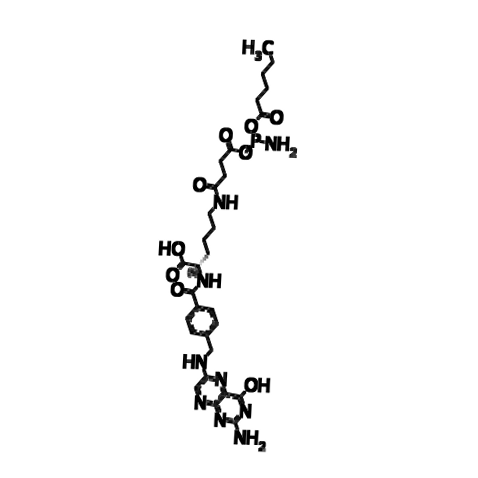 CCCCCC(=O)OP(N)OC(=O)CCC(=O)NCCCC[C@H](NC(=O)c1ccc(CNc2cnc3nc(N)nc(O)c3n2)cc1)C(=O)O